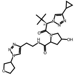 CC(C)(C)[C@H](C(=O)N1CC(O)CC1C(=O)NCCc1cn(C2CCOC2)nn1)n1cc(C2CC2)nn1